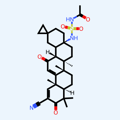 CC(=O)NS(=O)(=O)N[C@]12CCC3(CC3)CC1[C@H]1C(=O)C=C3[C@@]4(C)C=C(C#N)C(=O)C(C)(C)[C@@H]4CC[C@@]3(C)[C@]1(C)CC2